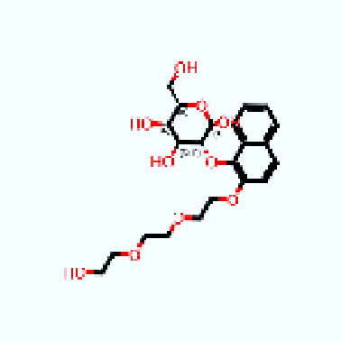 OCCOCCOCCOc1ccc2ccccc2c1O[C@@H]1[C@@H](O)[C@@H](O)[C@@H](CO)O[C@H]1O